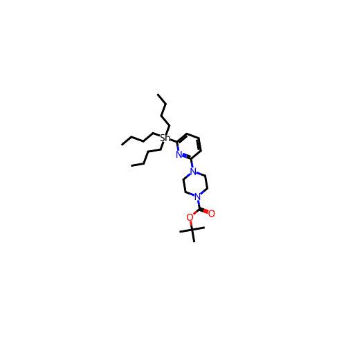 CCC[CH2][Sn]([CH2]CCC)([CH2]CCC)[c]1cccc(N2CCN(C(=O)OC(C)(C)C)CC2)n1